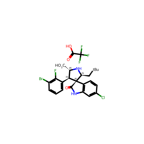 CC(C)(C)C[C@@H]1N[C@@H](C(=O)O)[C@H](c2cccc(Br)c2F)[C@]12C(=O)Nc1cc(Cl)ccc12.O=C(O)C(F)(F)F